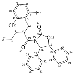 C=CCC(Cc1c(F)cccc1Cl)C(=O)N1C(=O)OC(c2ccccc2)C1c1ccccc1